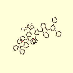 C=C/C(=C(\C=C)c1cc(-c2ccccc2)cc(-c2c3ccccc3c(-c3cc(-c4ccccc4)cc(-c4ccccc4)c3)c3ccccc23)c1)c1ccc([Si](c2ccccc2)(c2ccccc2)c2cccc([Si](c3ccccc3)(c3ccccc3)c3ccccc3)c2)cc1